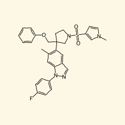 Cc1cc2c(cnn2-c2ccc(F)cc2)cc1C1(COc2ccccc2)CCN(S(=O)(=O)c2ccn(C)c2)C1